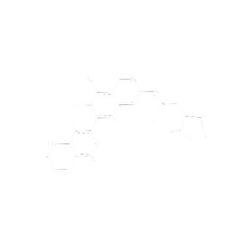 Cc1c(-c2cc3cc(NC(=O)OC4COCC4C)ncc3c(N)c2F)cnc2c1NCCO2